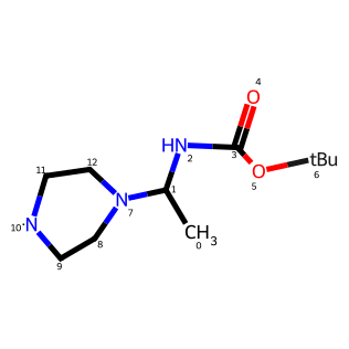 CC(NC(=O)OC(C)(C)C)N1CC[N]CC1